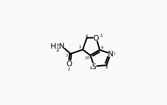 NC(=O)C1COc2ncsc21